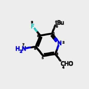 CC(C)(C)c1nc(C=O)cc(N)c1F